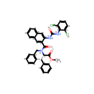 COC(=O)[C@H](Cc1ccccc1)N(Cc1ccccc1)C(=O)c1cc2ccccc2cc1NC(=O)Nc1c(Cl)cccc1Cl